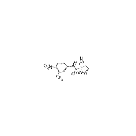 CC1(C(=O)Nc2ccc([N+](=O)[O-])c(C(F)(F)F)c2)CC=NN1